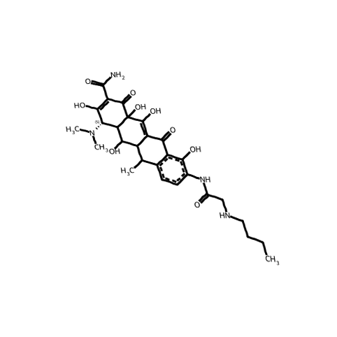 CCCCNCC(=O)Nc1ccc2c(c1O)C(=O)C1=C(O)C3(O)C(=O)C(C(N)=O)=C(O)[C@@H](N(C)C)C3C(O)C1C2C